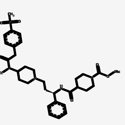 CCN(C(=O)Cc1ccc(S(C)(=O)=O)cc1)C1CCN(CC[C@H](NC(=O)C2CCN(C(=O)OC(C)(C)C)CC2)c2ccccc2)CC1